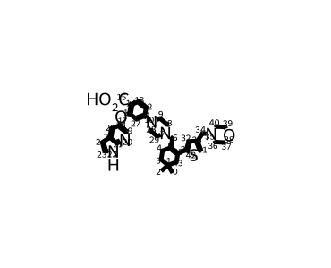 CC1(C)CCC(CN2CCN(c3ccc(C(=O)O)c(Oc4cnc5[nH]ccc5c4)c3)CC2)=C(c2cc(CN3CCOCC3)cs2)C1